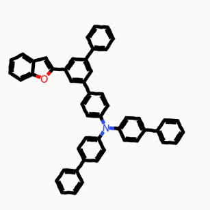 c1ccc(-c2ccc(N(c3ccc(-c4ccccc4)cc3)c3ccc(-c4cc(-c5ccccc5)cc(-c5cc6ccccc6o5)c4)cc3)cc2)cc1